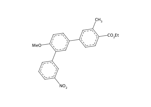 CCOC(=O)c1ccc(-c2ccc(OC)c(-c3cccc([N+](=O)[O-])c3)c2)cc1C